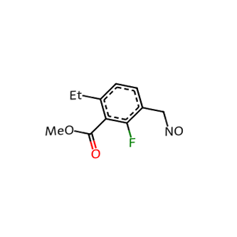 CCc1ccc(CN=O)c(F)c1C(=O)OC